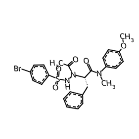 COc1ccc(N(C)C(=O)[C@H](Cc2ccccc2)N(NS(=O)(=O)c2ccc(Br)cc2)C(C)=O)cc1